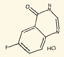 Cl.O=c1[nH]cnc2ccc(F)cc12